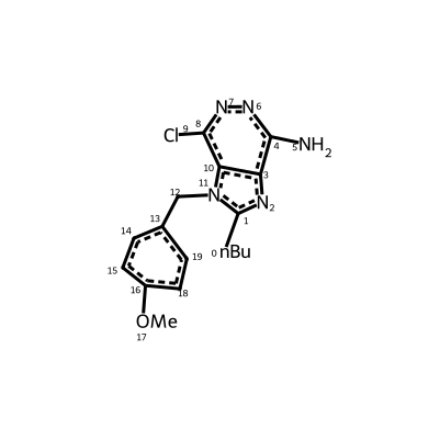 CCCCc1nc2c(N)nnc(Cl)c2n1Cc1ccc(OC)cc1